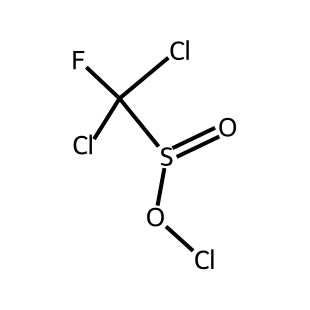 O=S(OCl)C(F)(Cl)Cl